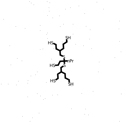 CCCC(CCS)(SCC(CCS)CCCS)SCC(CCS)CCCS